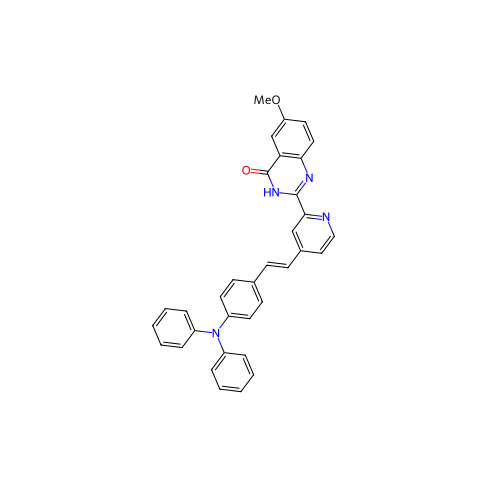 COc1ccc2nc(-c3cc(C=Cc4ccc(N(c5ccccc5)c5ccccc5)cc4)ccn3)[nH]c(=O)c2c1